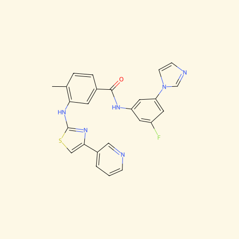 Cc1ccc(C(=O)Nc2cc(F)cc(-n3ccnc3)c2)cc1Nc1nc(-c2cccnc2)cs1